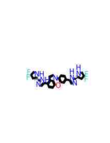 FC1(F)CN[C@H](c2ncc(-c3ccc4c(c3)Oc3ccc(-c5cnc([C@@H]6CC(F)(F)CN6)[nH]5)c5ccn-4c35)[nH]2)C1